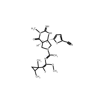 COC(/N=C(\C)N1C[C@H]2C(=O)N(C)C(=N)N[C@@]2(c2ccc(C#N)s2)C1)=C(\F)C1(C)CC1C